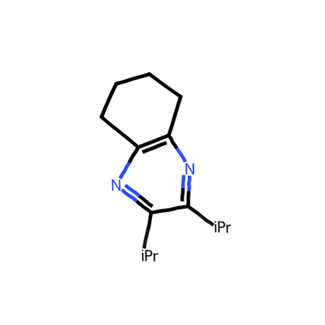 CC(C)c1nc2c(nc1C(C)C)CCCC2